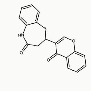 O=C1CC(c2coc3ccccc3c2=O)Sc2ccccc2N1